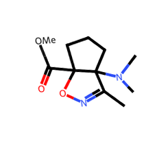 COC(=O)C12CCCC1(N(C)C)C(C)=NO2